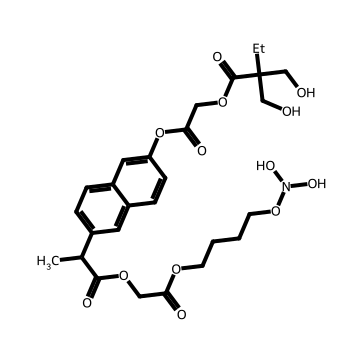 CCC(CO)(CO)C(=O)OCC(=O)Oc1ccc2cc(C(C)C(=O)OCC(=O)OCCCCON(O)O)ccc2c1